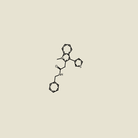 Cn1c(CC(=O)NCc2ccccc2)c(-c2ccsc2)c2ccccc21